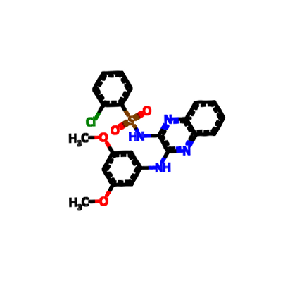 COc1cc(Nc2nc3ccccc3nc2NS(=O)(=O)c2ccccc2Cl)cc(OC)c1